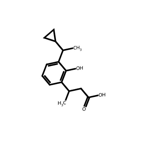 CC(CC(=O)O)c1cccc(C(C)C2CC2)c1O